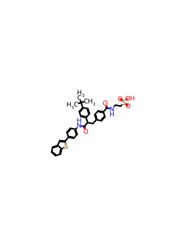 CC(C)(C)c1ccc(C(Cc2ccc(C(=O)NCCS(=O)(=O)O)cc2)C(=O)Nc2ccc(-c3cc4ccccc4s3)cc2)cc1